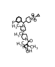 Cc1nn(O)c(C)c1C(=O)N1CCC(C)(N2CCN(C(c3cccc(F)c3)C3CCN(S(=O)(=O)C4CC4)CC3)C(C)C2)CC1